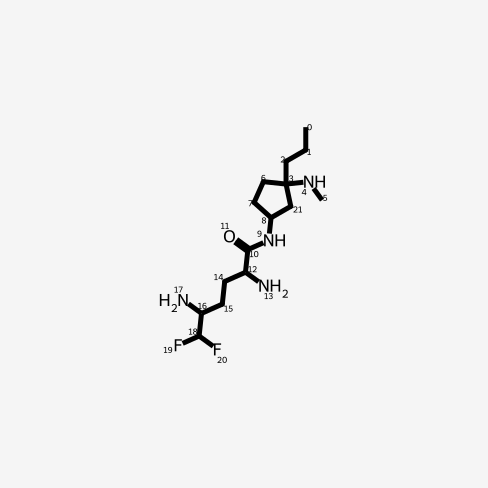 CCCC1(NC)CCC(NC(=O)C(N)CCC(N)C(F)F)C1